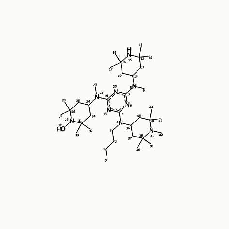 CCCCN(c1nc(N(C)C2CC(C)(C)NC(C)(C)C2)nc(N(C)C2CC(C)(C)N(O)C(C)(C)C2)n1)C1CC(C)(C)N(C)C(C)(C)C1